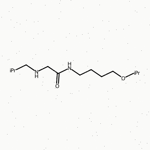 CC(C)CNCC(=O)NCCCCOC(C)C